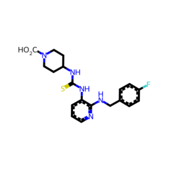 O=C(O)N1CCC(NC(=S)Nc2cccnc2NCc2ccc(F)cc2)CC1